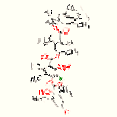 CCc1c(C)c(OC(=O)c2c(C)c(C)c(OC(=O)[C@@]3(O)C(C)=CC(=O)C=C3OC)c(Br)c2O)cc(C)c1C(=O)Oc1c(C)c(C)c(C(=O)O)c(C)c1C